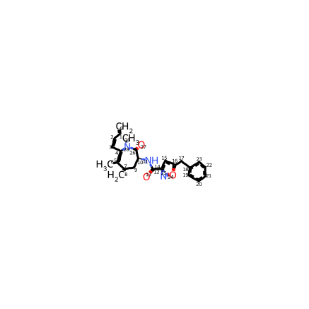 C=C/C=C\C1=C(C)C(=C)C[C@H](NC(=O)c2cc(Cc3ccccc3)on2)C(=O)N1C